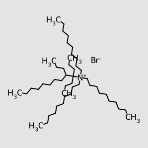 CCCCCCCCCC[N+](CCCCCCCCCC)(CCCCCCCCCC)C(CCC)(CCC)C(CCC)CCCCCCCC.[Br-]